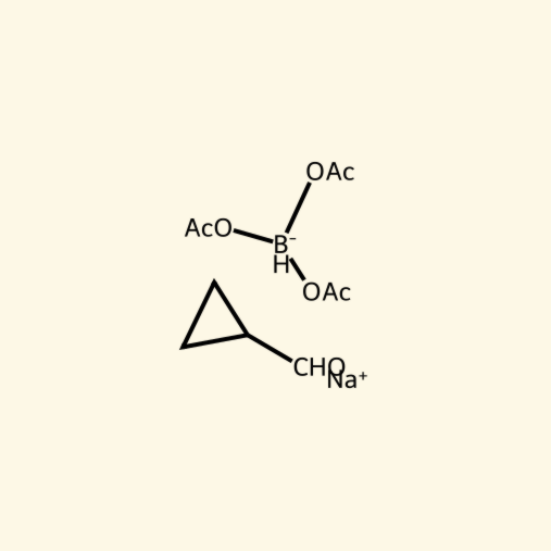 CC(=O)O[BH-](OC(C)=O)OC(C)=O.O=CC1CC1.[Na+]